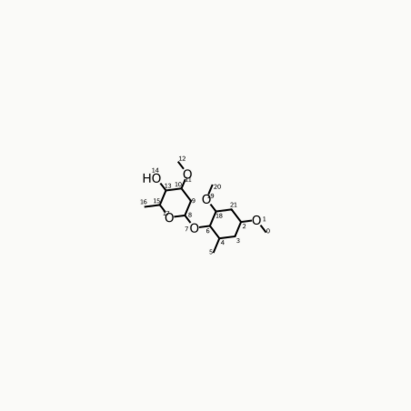 COC1CC(C)C(OC2CC(OC)C(O)C(C)O2)C(OC)C1